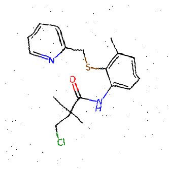 Cc1cccc(NC(=O)C(C)(C)CCl)c1SCc1ccccn1